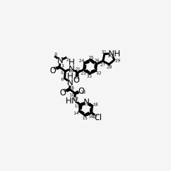 CN(C)C(=O)C(CNC(=O)C(=O)Nc1ccc(Cl)cn1)NC(=O)c1ccc(C2CCNC2)cc1